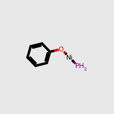 [PH2][Ni][O]c1ccccc1